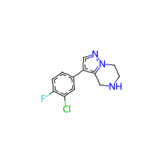 Fc1ccc(-c2cnn3c2CNCC3)cc1Cl